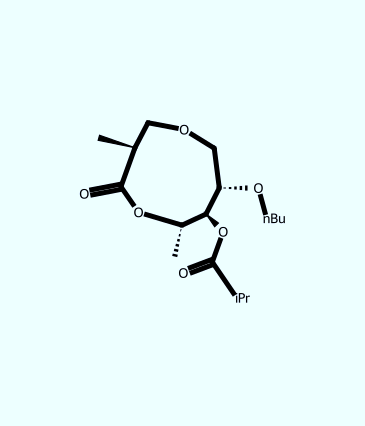 CCCCO[C@H]1COC[C@H](C)C(=O)O[C@@H](C)[C@@H]1OC(=O)C(C)C